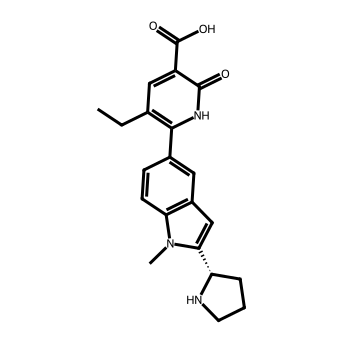 CCc1cc(C(=O)O)c(=O)[nH]c1-c1ccc2c(c1)cc([C@@H]1CCCN1)n2C